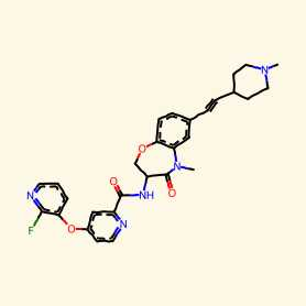 CN1CCC(C#Cc2ccc3c(c2)N(C)C(=O)C(NC(=O)c2cc(Oc4cccnc4F)ccn2)CO3)CC1